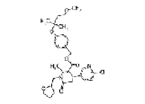 COCCC(C)(C)Oc1ccc(COC(=O)C2=C(C)N(CC3CCCO3)C(=O)CC2c2ccc(Cl)nc2)cc1